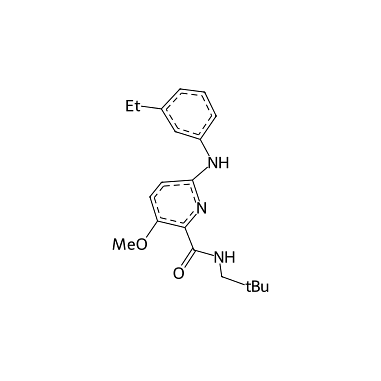 CCc1cccc(Nc2ccc(OC)c(C(=O)NCC(C)(C)C)n2)c1